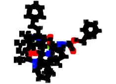 CC(=O)NC(C(C)C)C(O[Si](C)(C)C(C)(C)C)(n1c(-c2ccccc2)ccc(NC(=O)OCc2ccccc2)c1=O)C(F)(F)C(=O)NCCc1ccccc1